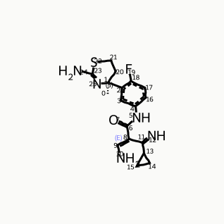 C[C@@]1(c2cc(NC(=O)/C(=C/N)C(=N)C3CC3)ccc2F)CCSC(N)=N1